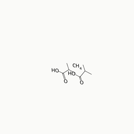 C.CC(C)C(=O)O.CC(C)C(=O)O